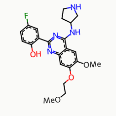 COCCOc1cc2nc(-c3cc(F)ccc3O)nc(NC3CCNC3)c2cc1OC